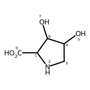 O=C(O)C1NCC(O)C1O